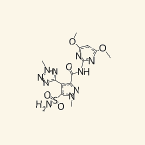 COc1cc(OC)nc(NC(=O)c2nn(C)c(S(N)(=O)=O)c2-c2nnn(C)n2)n1